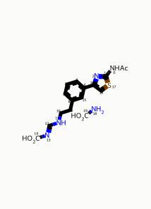 CC(=O)Nc1nc(-c2cccc(CCNC=NC(=O)O)c2)cs1.NC(=O)O